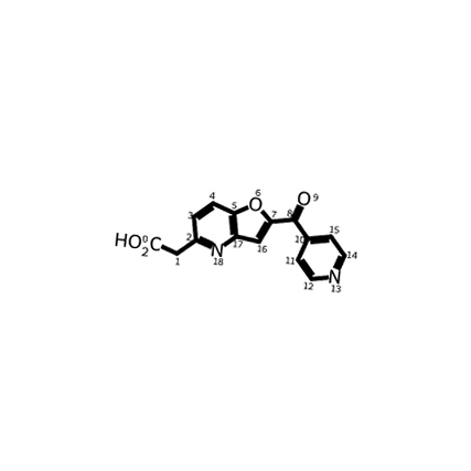 O=C(O)Cc1ccc2oc(C(=O)c3ccncc3)cc2n1